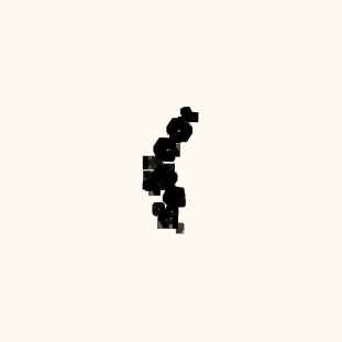 CC(C)N1CCN(c2ccc(Nc3ncc(-c4csc(OC(N)=O)c4)n4ncnc34)cn2)CC1